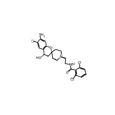 Nc1cc2c(cc1Cl)C(O)CC1(CCN(CCNC(=O)c3c(Cl)cccc3Cl)CC1)O2